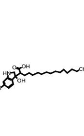 CCCCCCCCCCCCCCC(C(=O)O)C1(O)CNc2cc(Cl)ccc21